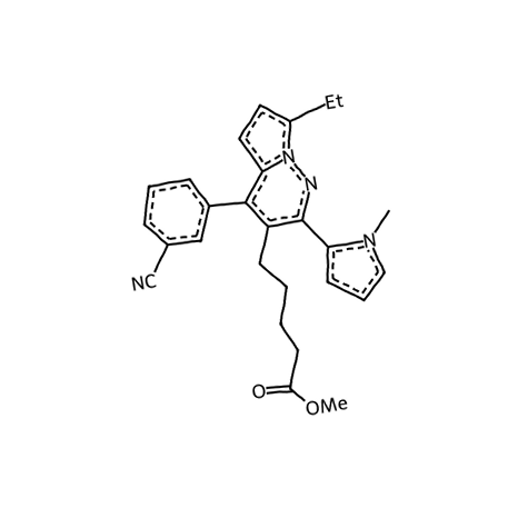 CCc1ccc2c(-c3cccc(C#N)c3)c(CCCCC(=O)OC)c(-c3cccn3C)nn12